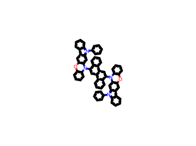 c1ccc(-n2c3ccccc3c3cc4c(cc32)N(c2cc3c5ccccc5c(N5c6ccccc6Oc6cc7c8ccccc8n(-c8ccccc8)c7cc65)cc3c3ccccc23)c2ccccc2O4)cc1